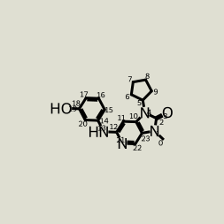 Cn1c(=O)n(C2CCCC2)c2cc(Nc3cccc(O)c3)ncc21